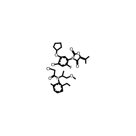 CC(C)=C1OC(=O)N(c2cc(OC3CCCC3)c(Cl)cc2F)C1=O.CCc1cccc(C)c1N(C(=O)CCl)C(C)COC